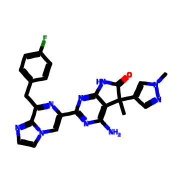 Cn1cc(C2(C)C(=O)Nc3nc(-c4cn5ccnc5c(Cc5ccc(F)cc5)n4)nc(N)c32)cn1